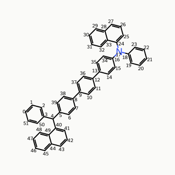 c1ccc(C(c2ccc(-c3ccc(-c4ccc(N(c5ccccc5)c5cccc6ccccc56)cc4)cc3)cc2)c2cccc3ccccc23)cc1